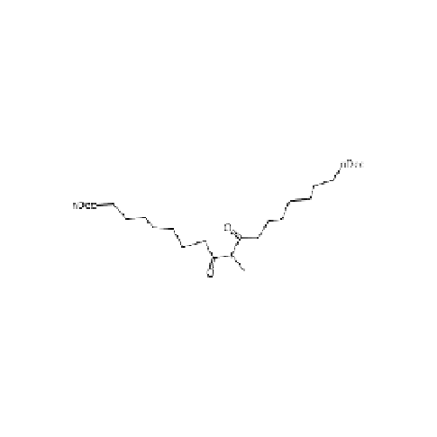 CCCCCCCCCCCCCCCCCC(=O)[C](C)C(=O)CCCCCCCCCCCCCCCCC